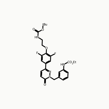 CCOC(=O)Nc1cccc(Cn2nc(-c3cc(F)c(OCCNC(=O)OC(C)(C)C)c(F)c3)ccc2=O)c1